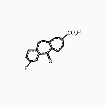 O=C(O)c1ccc2c(=O)c3cc(F)ccc3ccc2c1